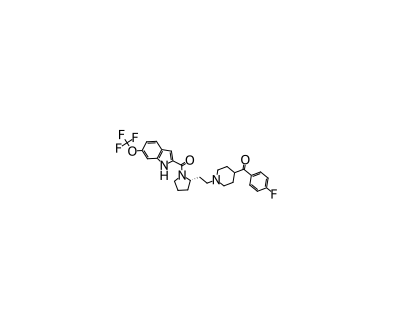 O=C(c1ccc(F)cc1)C1CCN(CC[C@@H]2CCCN2C(=O)c2cc3ccc(OC(F)(F)F)cc3[nH]2)CC1